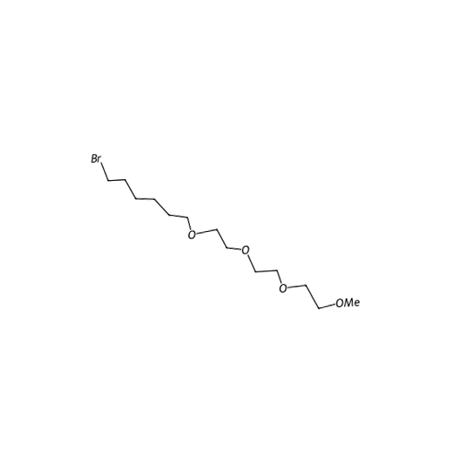 COCCOCCOCCOCCCCCCBr